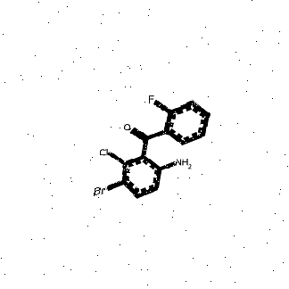 Nc1ccc(Br)c(Cl)c1C(=O)c1ccccc1F